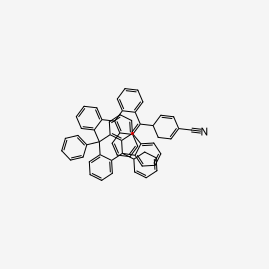 N#CC1=CCC(c2c3ccccc3c(-c3ccccc3C3(c4ccccc4)c4ccccc4C4(C5C=CC=CC5)c5ccccc5-c5cccc3c54)c3ccccc23)C=C1